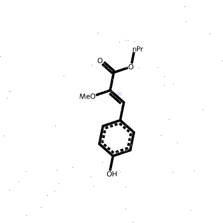 CCCOC(=O)/C(=C/c1ccc(O)cc1)OC